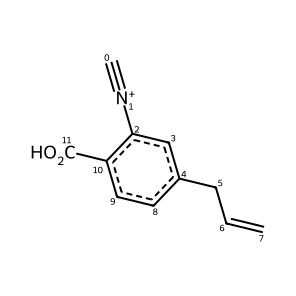 C#[N+]c1cc(CC=C)ccc1C(=O)O